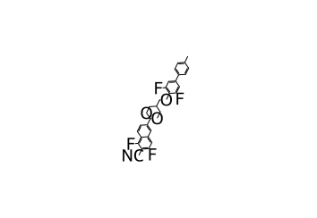 Cc1ccc(-c2cc(F)c(OCC3COC(c4ccc5c(F)c(C#N)c(F)cc5c4)OC3)c(F)c2)cc1